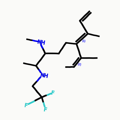 C=C/C(C)=C(CCC(NC)C(C)NCC(F)(F)F)/C(C)=C\C